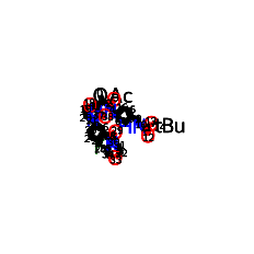 CC(=O)OC(C(=O)Nc1ccc(CNC(=O)OC(C)(C)C)cc1)C1OCCN(c2ccc(F)c(C(=O)N3CCOCC3)c2)C1=O